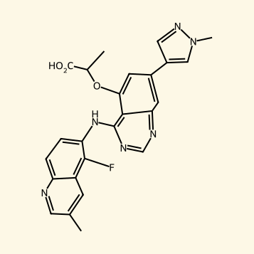 Cc1cnc2ccc(Nc3ncnc4cc(-c5cnn(C)c5)cc(OC(C)C(=O)O)c34)c(F)c2c1